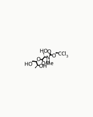 COC(OC(CO)[C@H](C)O)[C@H](CO)NC(=O)OCC(Cl)(Cl)Cl